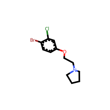 Clc1cc(OCCN2CCCC2)ccc1Br